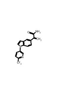 C=C(C(N)=O)c1ccc2c(ccn2-c2ccc(C(F)(F)F)nc2)c1